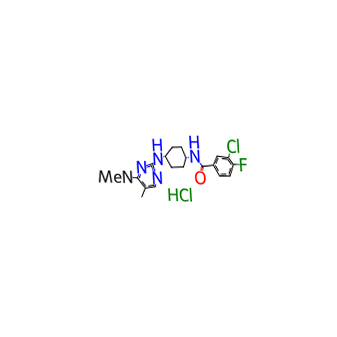 CNc1nc(N[C@H]2CC[C@@H](NC(=O)c3ccc(F)c(Cl)c3)CC2)ncc1C.Cl